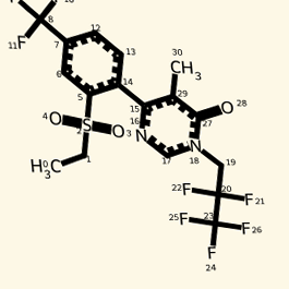 CCS(=O)(=O)c1cc(C(F)(F)F)ccc1-c1ncn(CC(F)(F)C(F)(F)F)c(=O)c1C